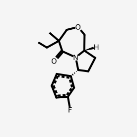 CCC1(C)COC[C@@H]2CC[C@H](c3cccc(F)c3)N2C1=O